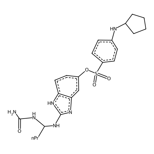 CCCC(NC(N)=O)Nc1nc2cc(OS(=O)(=O)c3ccc(NC4CCCC4)cc3)ccc2[nH]1